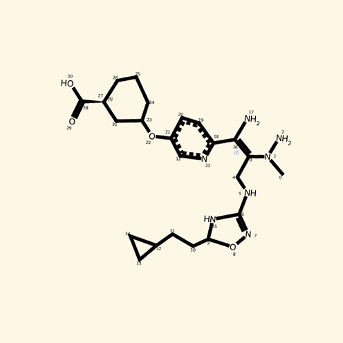 CN(N)/C(CNC1=NOC(CCC2CC2)N1)=C(\N)c1ccc(OC2CCC[C@H](C(=O)O)C2)cn1